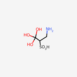 NCC(C(O)(O)O)S(=O)(=O)O